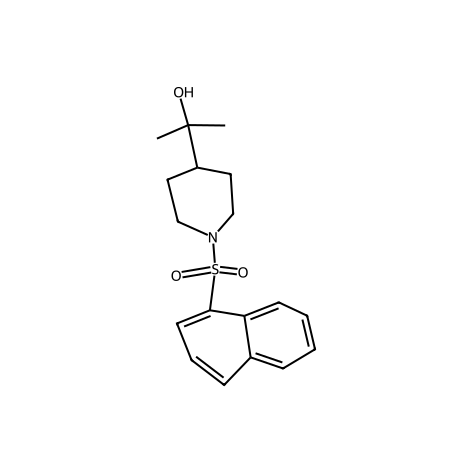 CC(C)(O)C1CCN(S(=O)(=O)c2cccc3ccccc23)CC1